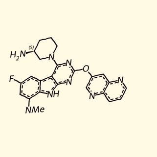 CNc1cc(F)cc2c1[nH]c1nc(Oc3cnc4cccnc4c3)nc(N3CCC[C@H](N)C3)c12